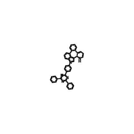 C1=CNC2C(=C1)c1ccccc1-c1cccc3c1c2cn3-c1ccc(-c2nc(-c3ccccc3)nc(-c3ccccc3)n2)cc1